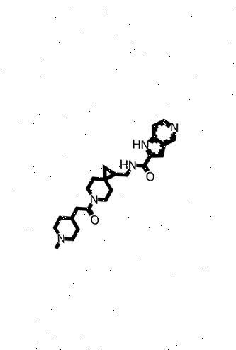 CN1CCC(CC(=O)N2CCC3(CC2)CC3CNC(=O)c2cc3cnccc3[nH]2)CC1